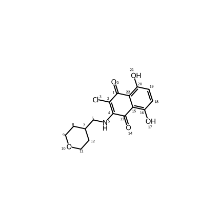 O=C1C(Cl)=C(NCC2CCOCC2)C(=O)c2c(O)ccc(O)c21